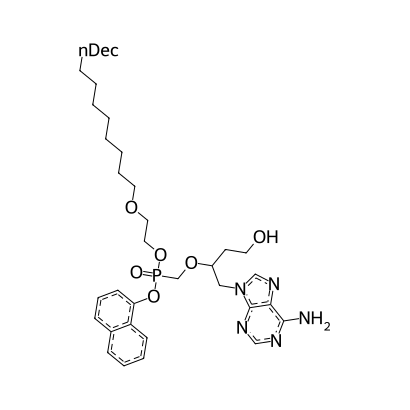 CCCCCCCCCCCCCCCCCCOCCOP(=O)(COC(CCO)Cn1cnc2c(N)ncnc21)Oc1cccc2ccccc12